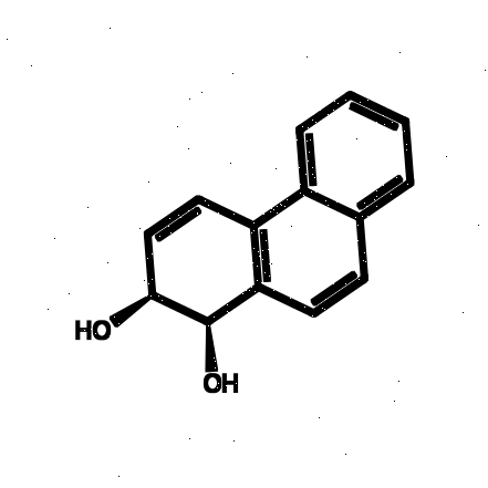 O[C@@H]1c2ccc3ccccc3c2C=C[C@@H]1O